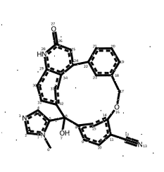 Cn1cncc1C1(O)c2ccc(C#N)c(c2)OCc2cccc(c2)-c2cc(=O)[nH]c3ccc1cc23